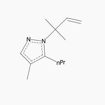 C=CC(C)(C)n1ncc(C)c1CCC